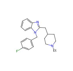 [CH2]CN1CCC(Cc2nc3ccccc3n2Cc2ccc(F)cc2)CC1